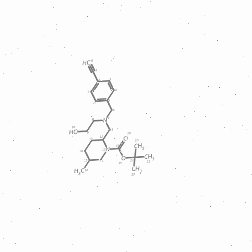 C#Cc1ccc(CN(CCO)CC2CCC(C)CN2C(=O)OC(C)(C)C)cc1